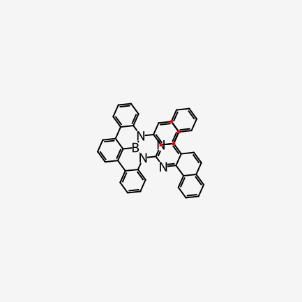 c1ccc(-c2nc(N3B4c5c(cccc5-c5ccccc53)-c3ccccc3N4c3ccccc3)nc3c2ccc2ccccc23)cc1